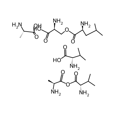 CC(C)C[C@H](N)C(=O)OC[C@H](N)C(=O)O.CC(C)[C@H](N)C(=O)O.CC(C)[C@H](N)C(=O)OC(=O)[C@H](C)N.C[C@H](N)C(=O)O